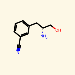 N#Cc1cccc(C[C@@H](N)CO)c1